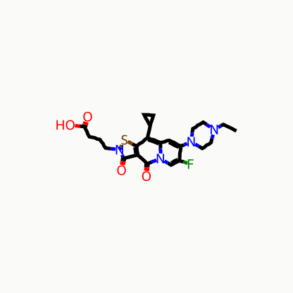 CCN1CCN(c2cc3c(C4CC4)c4sn(CCCC(=O)O)c(=O)c4c(=O)n3cc2F)CC1